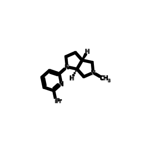 CC(C)c1cccc(N2CC[C@@H]3CN(C)C[C@H]32)n1